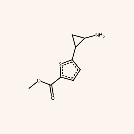 COC(=O)c1ccc(C2CC2N)s1